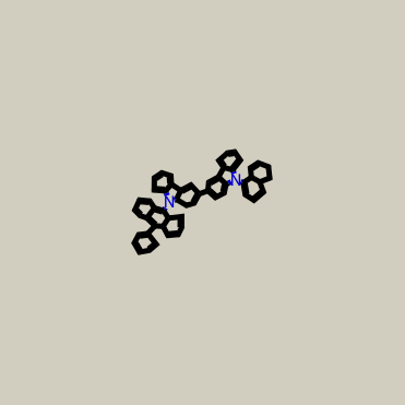 C1=CC2CCC=CC2C(n2c3ccccc3c3cc(C4=CCC5C(=C4)c4ccccc4N5C4=c5ccccc5=C(c5ccccc5)C5C=CC=CC45)ccc32)=C1